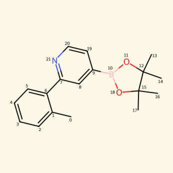 Cc1ccccc1-c1cc(B2OC(C)(C)C(C)(C)O2)ccn1